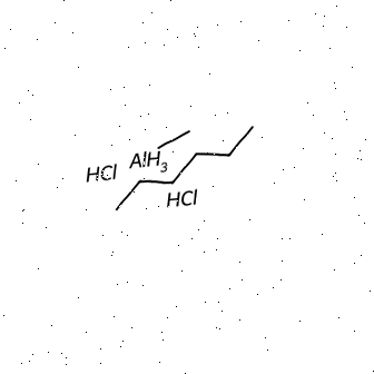 CC.CCCCCC.Cl.Cl.[AlH3]